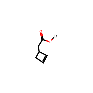 CCOC(=O)CC1C=CC1